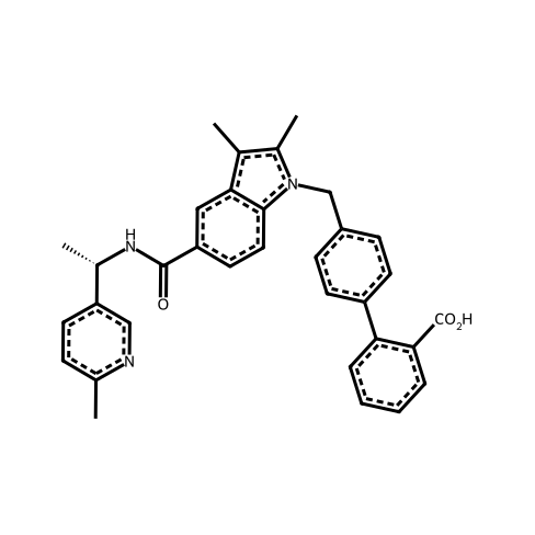 Cc1ccc([C@H](C)NC(=O)c2ccc3c(c2)c(C)c(C)n3Cc2ccc(-c3ccccc3C(=O)O)cc2)cn1